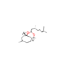 CC(C)=CCC[C@@H](C)CC1O[C@H]2CC(C)CC[C@H]2C(C)(C)O1